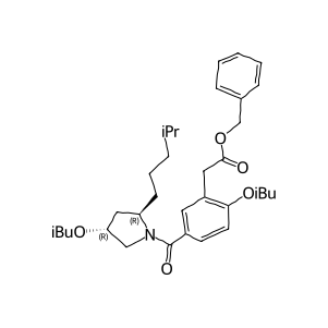 CC(C)CCC[C@@H]1C[C@@H](OCC(C)C)CN1C(=O)c1ccc(OCC(C)C)c(CC(=O)OCc2ccccc2)c1